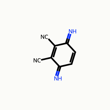 N#CC1=C(C#N)C(=N)C=CC1=N